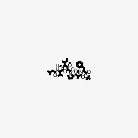 CCC(C)C(C(CC(=O)N1CCC[C@H]1C(OC)C(C)C(=O)NC(Cc1ccccc1)C(=O)OC(C)(C)C)OC)N(C)C(=O)C(NC(=O)CC(C)C)C(C)C